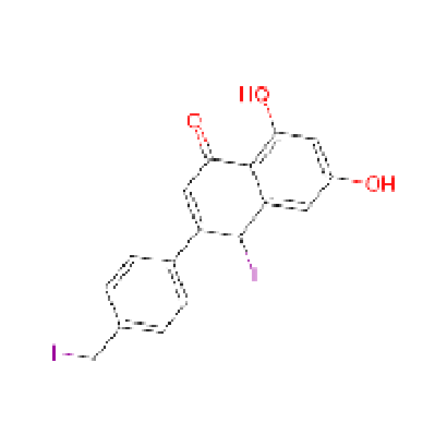 O=C1C=C(c2ccc(CI)cc2)C(I)c2cc(O)cc(O)c21